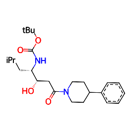 CC(C)C[C@H](NC(=O)OC(C)(C)C)[C@@H](O)CC(=O)N1CCC(c2ccccc2)CC1